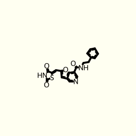 O=C1NC(=O)/C(=C/c2cc3cncc(C(=O)NCCc4ccccc4)c3o2)S1